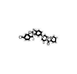 C[C@@H]1CN(c2ccc3ncn([C@H](C)c4ccc(Cl)cc4Cl)c3c2)CCN1C(=O)[C@H]1CCCCN1